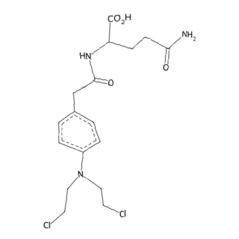 NC(=O)CCC(NC(=O)Cc1ccc(N(CCCl)CCCl)cc1)C(=O)O